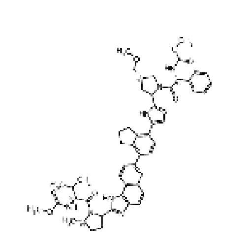 COC[C@H]1CC(c2ncc(-c3ccc(-c4ccc5c(ccc6nc(C7CC[C@H](C)N7C(=O)[C@@H](NC(=O)OC)C(C)C)[nH]c65)c4)c4c3CCC4)[nH]2)N(C(=O)[C@H](NC(=O)OC)c2ccccc2)C1